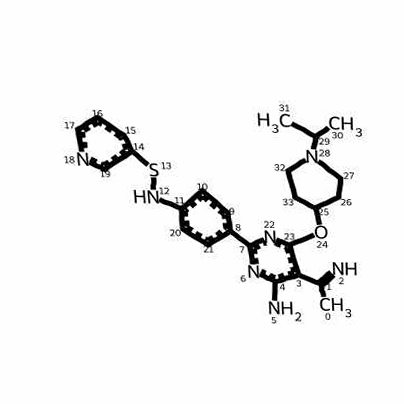 CC(=N)c1c(N)nc(-c2ccc(NSc3cccnc3)cc2)nc1OC1CCN(C(C)C)CC1